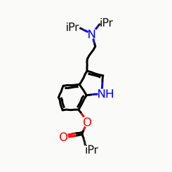 CC(C)C(=O)Oc1cccc2c(CCN(C(C)C)C(C)C)c[nH]c12